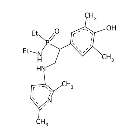 CCNP(=O)(CC)C(CNc1ccc(C)nc1C)c1cc(C)c(O)c(C)c1